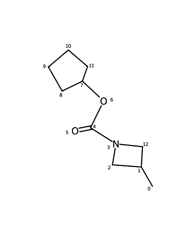 CC1CN(C(=O)OC2CCCC2)C1